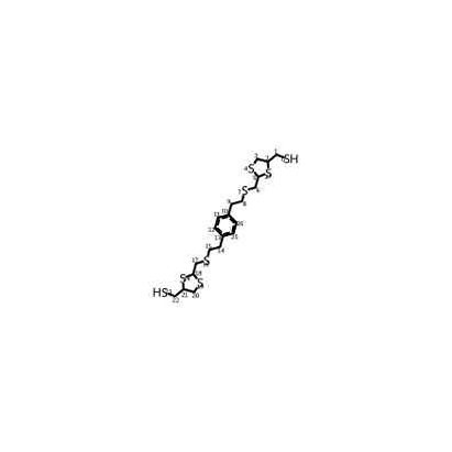 SCC1CSC(CSCCc2ccc(CCSCC3SCC(CS)S3)cc2)S1